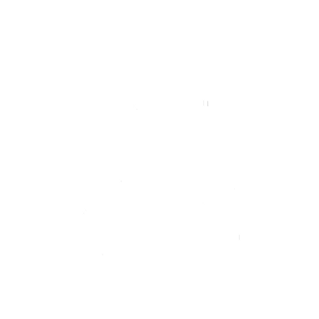 Cc1sc(CC(C)c2csc(CC(C)c3ccsc3)c2C)cc1C(C)C